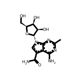 Cc1nc(N)c2c(C(N)=O)cn([C@@H]3O[C@@H](CO)[C@@H](O)[C@H]3O)c2n1